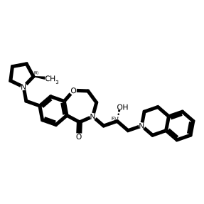 C[C@@H]1CCCN1Cc1ccc2c(c1)OCCN(C[C@H](O)CN1CCc3ccccc3C1)C2=O